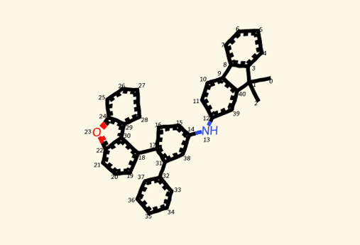 CC1(C)c2ccccc2-c2ccc(Nc3ccc(-c4cccc5oc6ccccc6c45)c(-c4ccccc4)c3)cc21